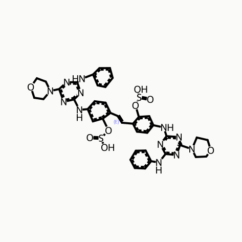 O=S(O)Oc1cc(Nc2nc(Nc3ccccc3)nc(N3CCOCC3)n2)ccc1/C=C/c1ccc(Nc2nc(Nc3ccccc3)nc(N3CCOCC3)n2)cc1OS(=O)O